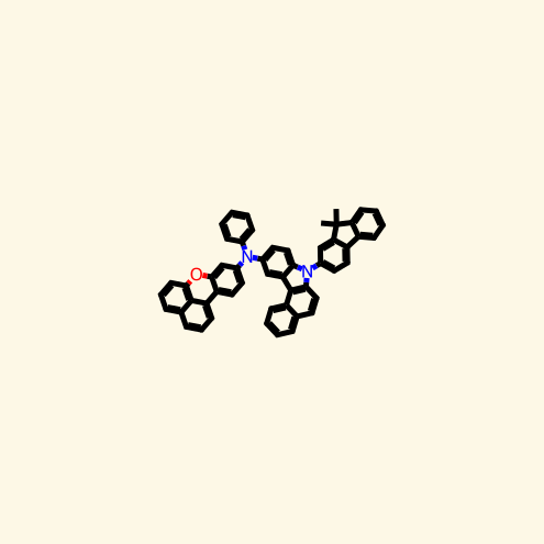 CC1(C)c2ccccc2-c2ccc(-n3c4ccc(N(c5ccccc5)c5ccc6c(c5)Oc5cccc7cccc-6c57)cc4c4c5ccccc5ccc43)cc21